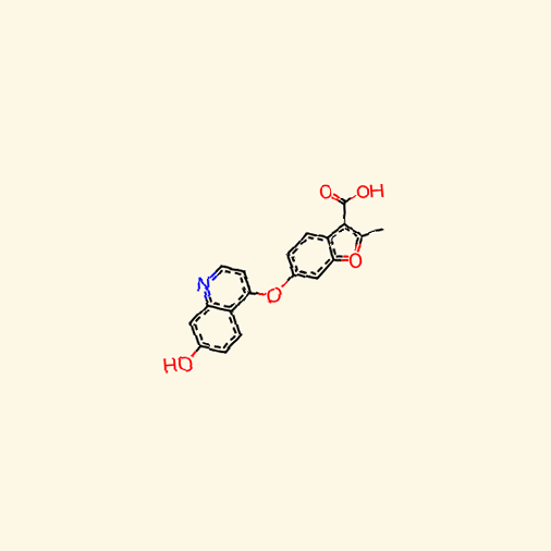 Cc1oc2cc(Oc3ccnc4cc(O)ccc34)ccc2c1C(=O)O